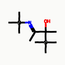 CC(=N[Si](C)(C)C)C(C)(O)[Si](C)(C)C